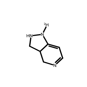 [2H]N1NCC2CN=CC=C21